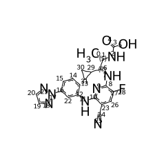 C[C@H](NC(=O)O)[C@H](Nc1nc(Nc2cccc(-n3nccn3)c2)c(C#N)cc1F)C1CC1